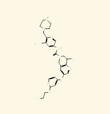 CCC1CN(C(=O)Nc2cnc(CN3CCN(CC)CC3)c(C(F)(F)F)c2)Cc2cc(Oc3ccnc(NCCO)c3)cnc21